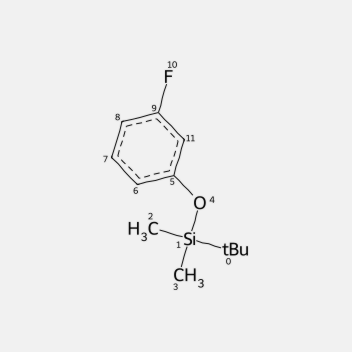 CC(C)(C)[Si](C)(C)Oc1cccc(F)c1